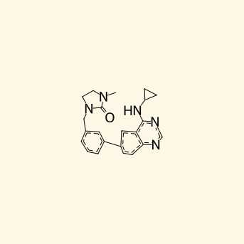 CN1CCN(Cc2cccc(-c3ccc4ncnc(NC5CC5)c4c3)c2)C1=O